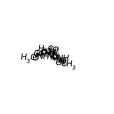 COC(=O)Nc1cccc(-c2nc3ccc(NC(=O)OC)cc3c(=O)n2C)c1